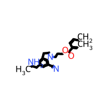 C=C/C=C\C(=C/C)C(=O)OCCCN1CCc2cc(CC(C)N)cc(C#N)c21